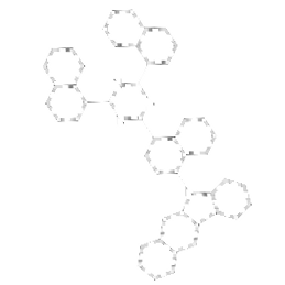 c1ccc2cc3c(cc2c1)c1ccccc1n3-c1ccc(-c2nc(-c3cccc4ccccc34)nc(-c3cccc4ccccc34)n2)c2ccccc12